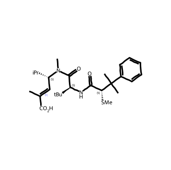 CS[C@H](C(=O)N[C@H](C(=O)N(C)[C@H](/C=C(\C)C(=O)O)C(C)C)C(C)(C)C)C(C)(C)c1ccccc1